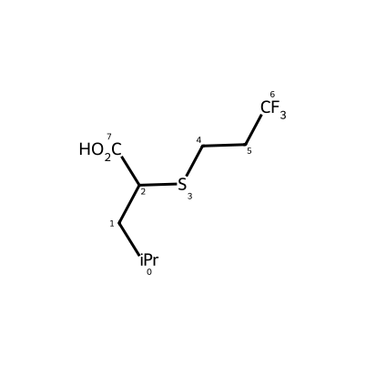 CC(C)CC(SCCC(F)(F)F)C(=O)O